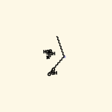 CC(C[N+](C)(C)C)P(=O)(O)O.CCCCCCCCCCCCC/C=C\CCCCCCCCCOC[C@@H](O)COC